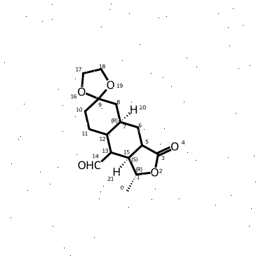 C[C@H]1OC(=O)C2C[C@@H]3CC4(CCC3C(C=O)[C@@H]21)OCCO4